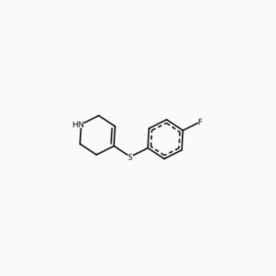 Fc1ccc(SC2=CCNCC2)cc1